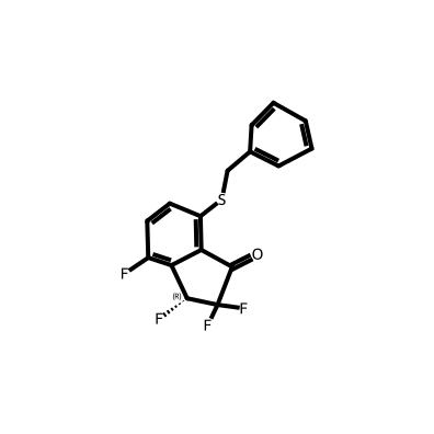 O=C1c2c(SCc3ccccc3)ccc(F)c2[C@@H](F)C1(F)F